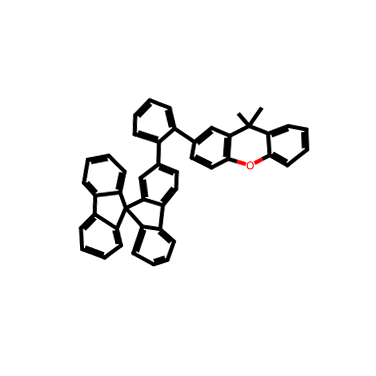 CC1(C)c2ccccc2Oc2ccc(-c3ccccc3-c3ccc4c(c3)C3(c5ccccc5-c5ccccc53)c3ccccc3-4)cc21